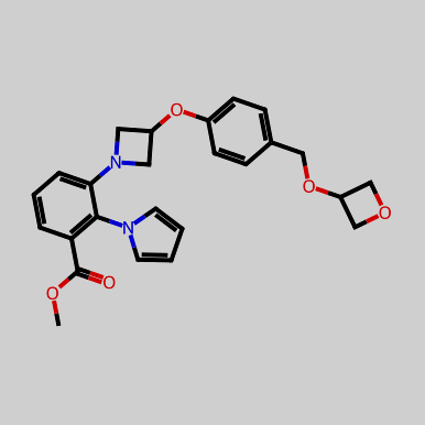 COC(=O)c1cccc(N2CC(Oc3ccc(COC4COC4)cc3)C2)c1-n1cccc1